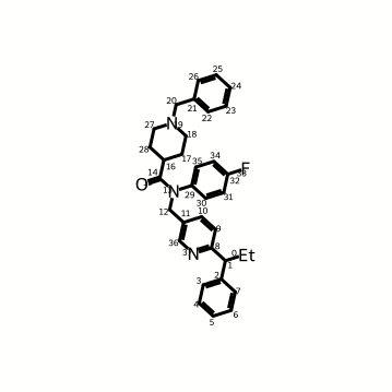 CCC(c1ccccc1)c1ccc(CN(C(=O)C2CCN(Cc3ccccc3)CC2)c2ccc(F)cc2)cn1